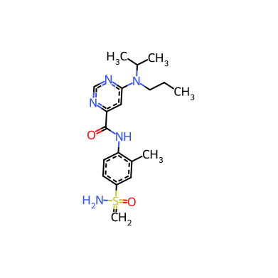 C=S(N)(=O)c1ccc(NC(=O)c2cc(N(CCC)C(C)C)ncn2)c(C)c1